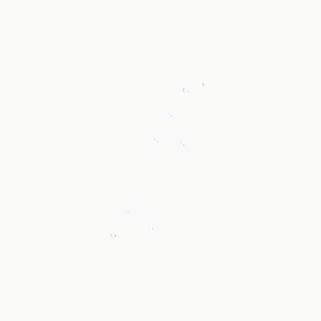 CSc1ncc(-c2ccc3[nH]c(NC(=O)NC(C)C)nc3c2)cn1